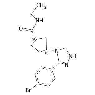 CCNC(=O)[C@H]1CC[C@@H](N2CNN=C2c2ccc(Br)cc2)C1